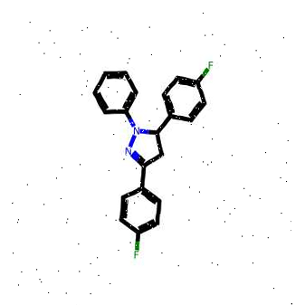 Fc1ccc(C2=NN(c3ccccc3)C(c3ccc(F)cc3)C2)cc1